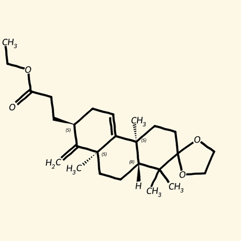 C=C1[C@@H](CCC(=O)OCC)CC=C2[C@@]1(C)CC[C@H]1C(C)(C)C3(CC[C@]21C)OCCO3